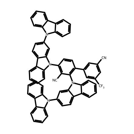 N#Cc1cc(-c2ccc(-n3c4ccccc4c4ccc(-n5c6ccccc6c6ccccc65)cc43)c(C#N)c2-n2c3ccccc3c3ccc(-n4c5ccccc5c5ccccc54)cc32)cc(C(F)(F)F)c1